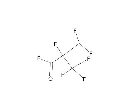 O=C(F)C(F)(C(F)F)C(F)(F)F